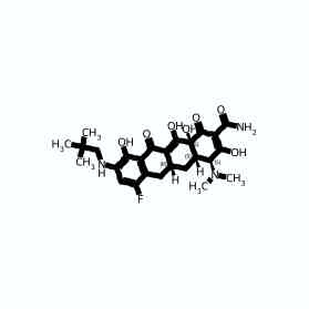 CN(C)[C@@H]1C(O)=C(C(N)=O)C(=O)[C@@]2(O)C(O)=C3C(=O)c4c(O)c(NCC(C)(C)C)cc(F)c4C[C@H]3C[C@@H]12